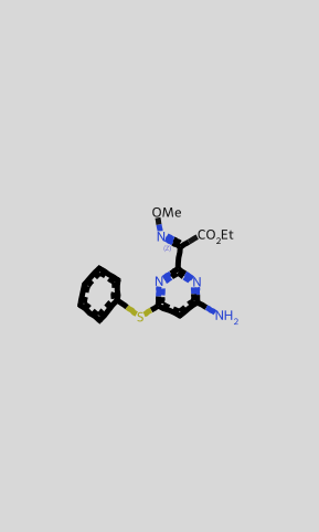 CCOC(=O)/C(=N\OC)c1nc(N)cc(Sc2ccccc2)n1